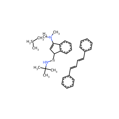 C(C=Cc1ccccc1)=Cc1ccccc1.CN(C)C1=C[CH]([Ti][NH]C(C)(C)C)c2ccccc21.C[SiH2]C